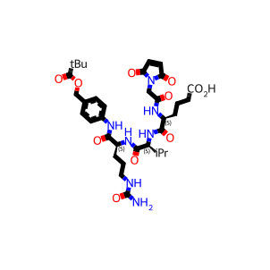 CC(C)[C@H](NC(=O)[C@H](CCCC(=O)O)NC(=O)CN1C(=O)C=CC1=O)C(=O)N[C@@H](CCCNC(N)=O)C(=O)Nc1ccc(COC(=O)C(C)(C)C)cc1